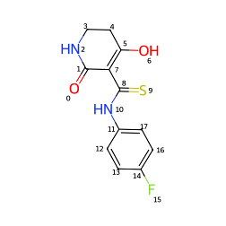 O=C1NCCC(O)=C1C(=S)Nc1ccc(F)cc1